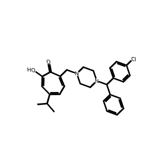 CC(C)c1ccc(CN2CCN(C(c3ccccc3)c3ccc(Cl)cc3)CC2)c(=O)c(O)c1